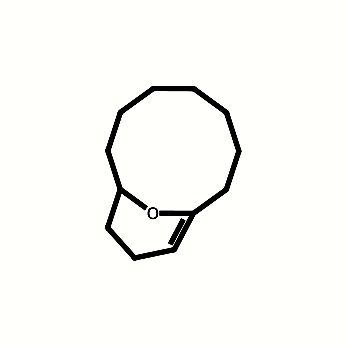 C1=C2CCCCCCCC(CC1)O2